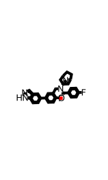 CN1C2CCC1CC(N(Cc1cc(-c3ccc4[nH]ncc4c3)ccc1F)C(=O)c1ccc(F)cc1)C2